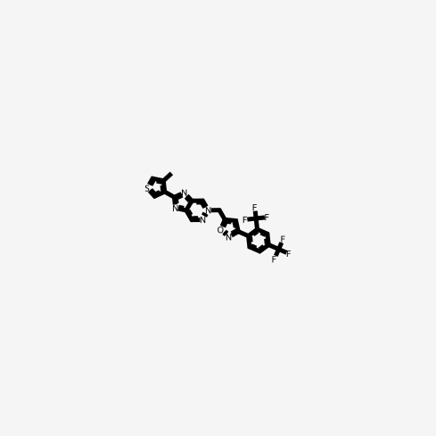 Cc1cscc1-c1nc2cnn(Cc3cc(-c4ccc(C(F)(F)F)cc4C(F)(F)F)no3)cc-2n1